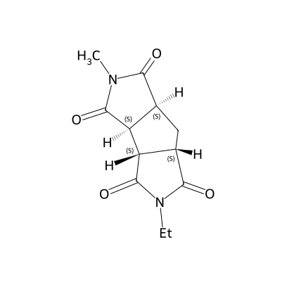 CCN1C(=O)[C@@H]2[C@H]3C(=O)N(C)C(=O)[C@H]3C[C@@H]2C1=O